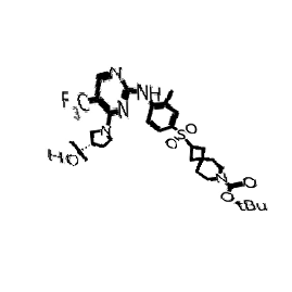 Cc1cc(S(=O)(=O)C2CC3(CCN(C(=O)OC(C)(C)C)CC3)C2)ccc1Nc1ncc(C(F)(F)F)c(N2CC[C@H](C(C)(C)O)C2)n1